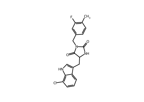 Cc1ccc(CN2C(=O)NC(Cc3c[nH]c4c(Cl)cccc34)C2=O)cc1F